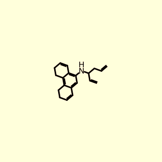 C=CCC(C=C)Nc1cc2c(c3c1C=CCC3)CCC=C2